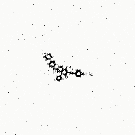 CC(=O)Nc1ccc(C#Cc2c(C)c3cnc(Nc4ccc(N5CCNCC5)cn4)nc3n(C3CCCC3)c2=O)cc1